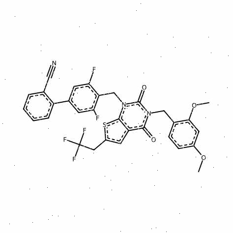 COc1ccc(Cn2c(=O)c3cc(CC(F)(F)F)sc3n(Cc3c(F)cc(-c4ccccc4C#N)cc3F)c2=O)c(OC)c1